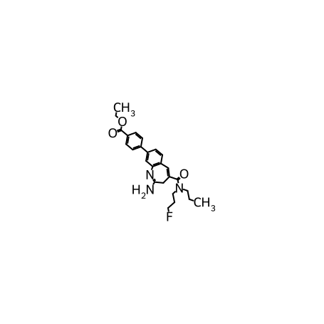 CCCN(CCCF)C(=O)C1=Cc2ccc(-c3ccc(C(=O)OCC)cc3)cc2N=C(N)C1